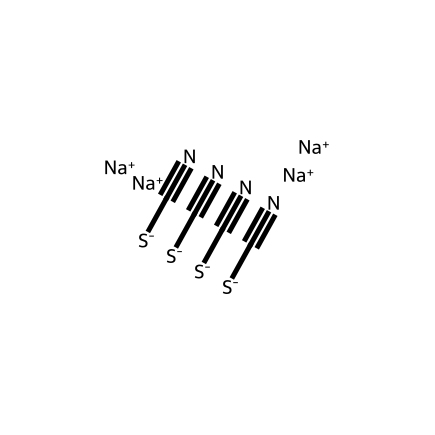 N#C[S-].N#C[S-].N#C[S-].N#C[S-].[Na+].[Na+].[Na+].[Na+]